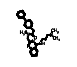 CN(C)CCCNc1nc(CN(C)C(=O)Cc2ccc(-c3ccccc3)cc2)nc2ccccc12